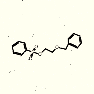 O=S(=O)(OCCOCc1ccccc1)c1ccccc1